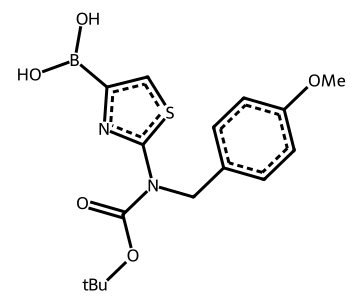 COc1ccc(CN(C(=O)OC(C)(C)C)c2nc(B(O)O)cs2)cc1